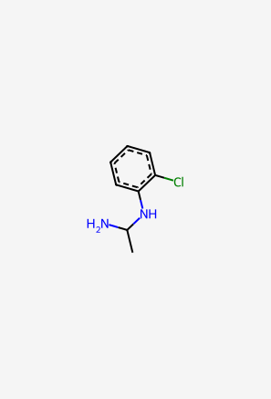 CC(N)Nc1ccccc1Cl